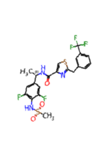 C[C@@H](NC(=O)c1csc(Cc2cccc(C(F)(F)F)c2)n1)c1cc(F)c(NS(C)(=O)=O)c(F)c1